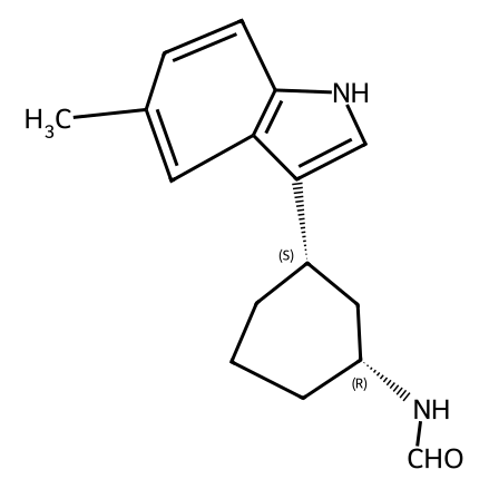 Cc1ccc2[nH]cc([C@H]3CCC[C@@H](NC=O)C3)c2c1